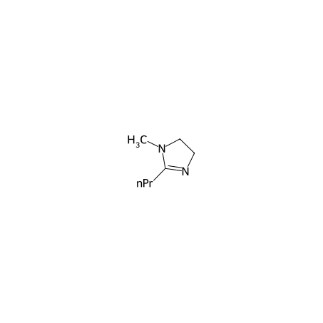 CCCC1=NCCN1C